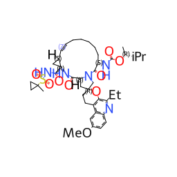 CCc1nc2ccc(OC)cc2c2c1O[C@]1(CC2)C[C@H]2C(=O)N[C@]3(C(=O)NS(=O)(=O)C4(C)CC4)C[C@H]3/C=C\CCCCC[C@H](NC(=O)O[C@H](C)C(C)C)C(=O)N2C1